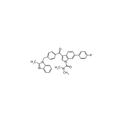 Cc1nc2ccccc2n1Cc1ccc(C(=O)c2cn(C(=O)N(C)C)c3cc(-c4ccc(F)cc4)ccc23)cc1